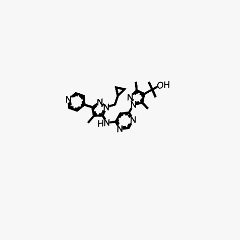 Cc1nn(-c2cc(Nc3c(C)c(-c4ccncc4)nn3CC3CC3)ncn2)c(C)c1C(C)(C)O